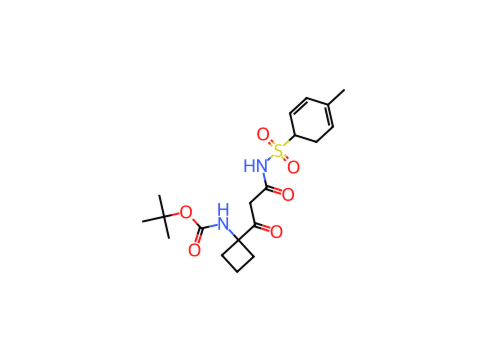 CC1=CCC(S(=O)(=O)NC(=O)CC(=O)C2(NC(=O)OC(C)(C)C)CCC2)C=C1